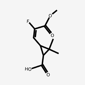 COC(=O)/C(F)=C\C1C(C(=O)O)C1(C)C